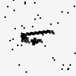 CCCCCCCCCCCC[n+]1ccc(C)n1C.COS(=O)(=O)[O-]